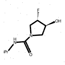 CC(C)NC(=O)N1C[C@H](O)[C@@H](F)C1